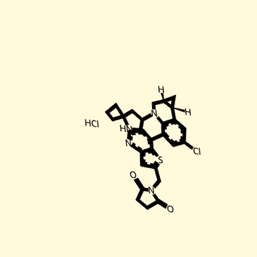 Cl.O=C1CCC(=O)N1Cc1cc2nccc(-c3cc(Cl)cc4c3N(C3CNC5(CCC5)C3)C[C@@H]3C[C@H]43)c2s1